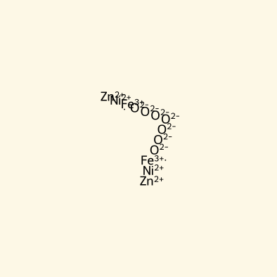 [Fe+3].[Fe+3].[Ni+2].[Ni+2].[O-2].[O-2].[O-2].[O-2].[O-2].[O-2].[O-2].[Zn+2].[Zn+2]